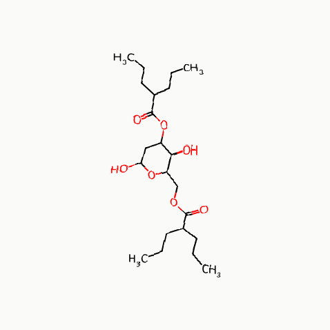 CCCC(CCC)C(=O)OCC1OC(O)CC(OC(=O)C(CCC)CCC)C1O